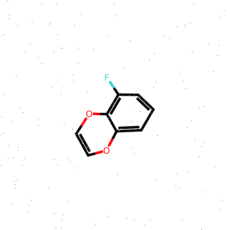 Fc1cccc2c1OC=CO2